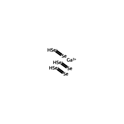 [Ga+3].[Se]=[SeH-].[Se]=[SeH-].[Se]=[SeH-]